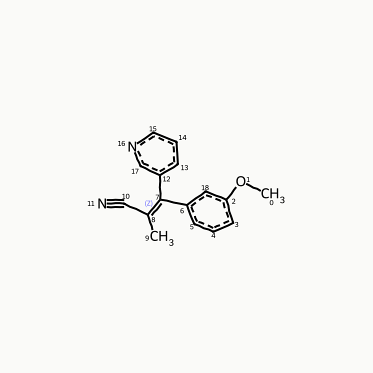 COc1cccc(/C(=C(\C)C#N)c2cccnc2)c1